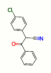 N#CC(C(=O)c1ccccc1)c1ccc(Cl)cc1